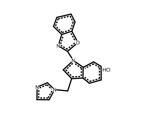 Cl.c1ccc2oc(-n3cc(Cn4ccnc4)c4ccccc43)nc2c1